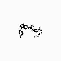 CC(=O)N1C[C@H](OC(=O)N2Cc3cccc(N4CCN(C)CC4)c3C2)C[C@H]1C(=O)O